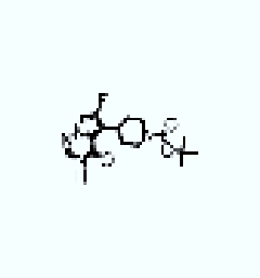 CC(C)(C)OC(=O)N1CCC(c2c(F)cn3nc[nH]c(=O)c23)CC1